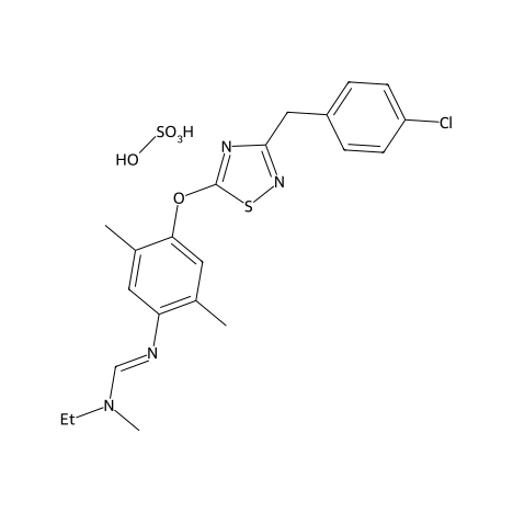 CCN(C)C=Nc1cc(C)c(Oc2nc(Cc3ccc(Cl)cc3)ns2)cc1C.O=S(=O)(O)O